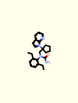 CCc1cccc(CC)c1N(CC1(n2ccc3cccnc32)CCCC1)C(N)=O